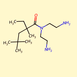 CCC(C)(CC(C)(C)C)C(=O)N(CCN)CCN